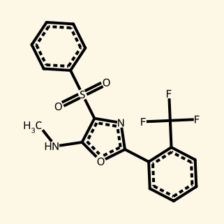 CNc1oc(-c2ccccc2C(F)(F)F)nc1S(=O)(=O)c1ccccc1